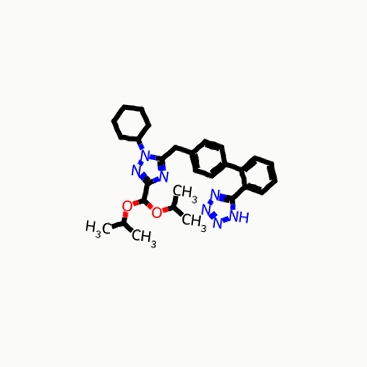 CC(C)OC(OC(C)C)c1nc(Cc2ccc(-c3ccccc3-c3nnn[nH]3)cc2)n(C2CCCCC2)n1